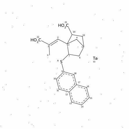 CC(=CC12CC(CC1Sc1ccc3ccccc3c1)CC2C(=O)O)C(=O)O.[Ta]